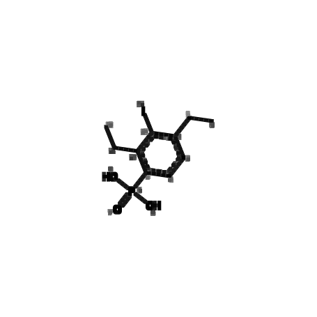 CCc1ccc(P(=O)(O)O)c(CC)c1I